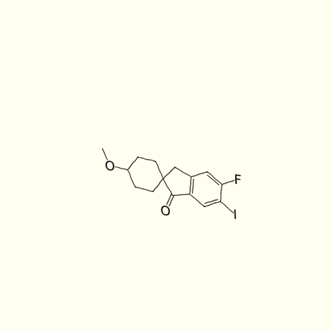 COC1CCC2(CC1)Cc1cc(F)c(I)cc1C2=O